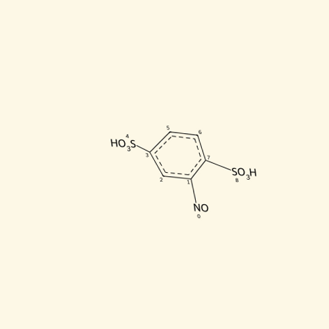 O=Nc1cc(S(=O)(=O)O)ccc1S(=O)(=O)O